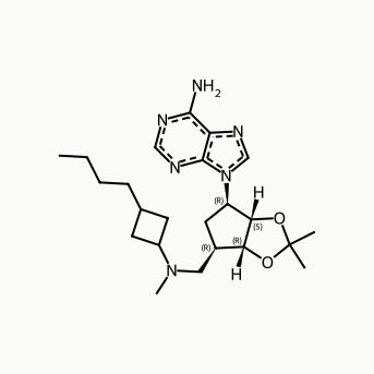 CCCCC1CC(N(C)C[C@H]2C[C@@H](n3cnc4c(N)ncnc43)[C@@H]3OC(C)(C)O[C@H]23)C1